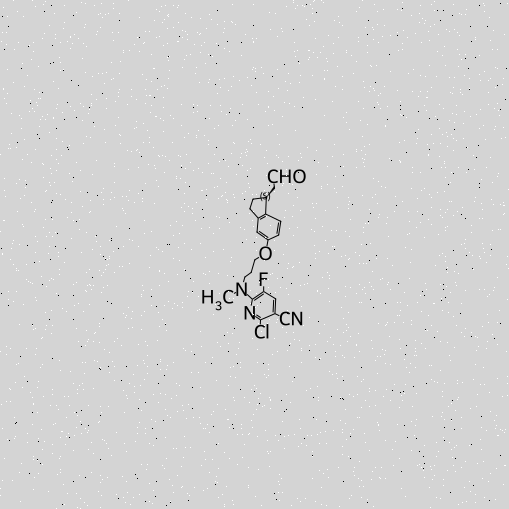 CN(CCCOc1ccc2c(c1)CC[C@H]2CC=O)c1nc(Cl)c(C#N)cc1F